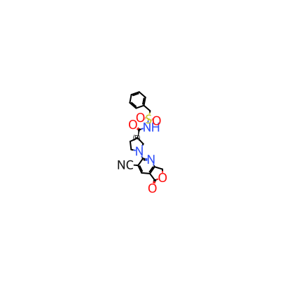 N#Cc1cc2c(nc1N1CC[C@@H](C(=O)NS(=O)(=O)Cc3ccccc3)C1)COC2=O